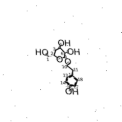 OC[C@@H]1C[C@H](O)[C@@H](O)[C@H](OCCc2ccc(O)cc2)O1